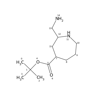 CC(C)(C)OC(=O)C1CCCNC(CN)C1